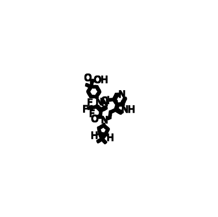 CC1(C(=O)O)CCC(n2ncc(C(=O)N(CCc3c[nH]c4cncc(Cl)c34)[C@H]3C[C@@H]4[C@H](C3)C4(C)C)c2C(F)(F)F)CC1